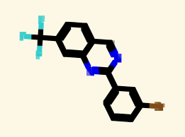 FC(F)(F)c1ccc2[c]nc(-c3cccc(Br)c3)nc2c1